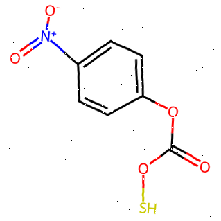 O=C(OS)Oc1ccc([N+](=O)[O-])cc1